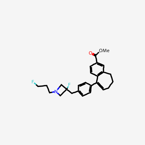 COC(=O)c1ccc2c(c1)CCCC=C2c1ccc(CC2(F)CN(CCCF)C2)cc1